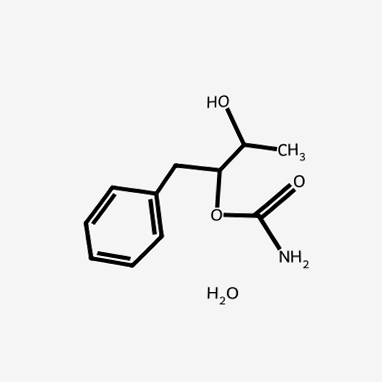 CC(O)C(Cc1ccccc1)OC(N)=O.O